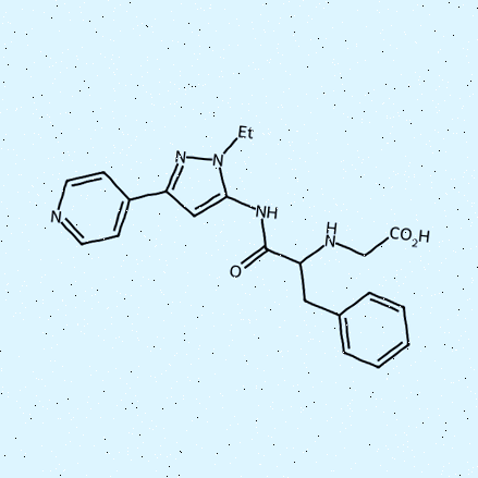 CCn1nc(-c2ccncc2)cc1NC(=O)C(Cc1ccccc1)NCC(=O)O